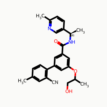 Cc1ccc(-c2cc(OC(C)CO)cc(C(=O)N[C@H](C)c3ccc(C)nc3)c2)c(C#N)c1